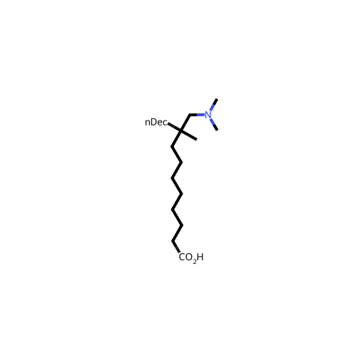 CCCCCCCCCCC(C)(CCCCCCCC(=O)O)CN(C)C